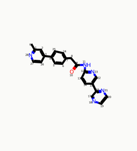 Cc1cc(-c2ccc(CC(=O)Nc3ccc(-c4cnccn4)cn3)cc2)ccn1